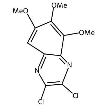 COc1cc2nc(Cl)c(Cl)nc2c(OC)c1OC